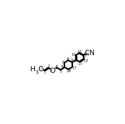 C/C=C/OCCC1CCC(c2ccc(C#N)cc2)CC1